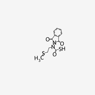 CSCCN(C(=O)S)N1C(=O)c2ccccc2C1=O